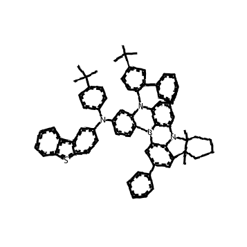 Cc1cc2c3c(c1)N1c4c(cc(-c5ccccc5)cc4C4(C)CCCCC14C)B3c1ccc(N(c3ccc(C(C)(C)C)cc3)c3ccc4sc5ccccc5c4c3)cc1N2c1ccc(C(C)(C)C)cc1-c1ccccc1